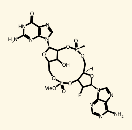 COP1(=O)OCC2O[C@@H](n3cnc4c(=O)[nH]c(N)nc43)C(O[P@](C)(=O)OC[C@H]3O[C@@H](n4cnc5c(N)ncnc54)C(F)C3O1)C2O